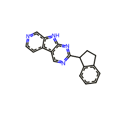 c1ccc2c(c1)CCC2c1ncc2c(n1)[nH]c1cnccc12